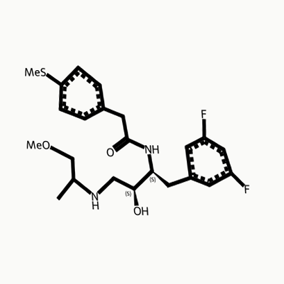 COCC(C)NC[C@H](O)[C@H](Cc1cc(F)cc(F)c1)NC(=O)Cc1ccc(SC)cc1